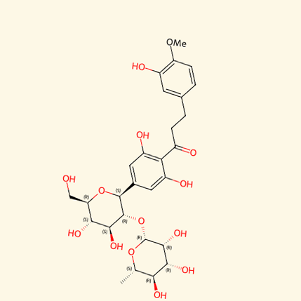 COc1ccc(CCC(=O)c2c(O)cc([C@@H]3O[C@H](CO)[C@@H](O)[C@H](O)[C@H]3O[C@H]3O[C@@H](C)[C@H](O)[C@@H](O)[C@H]3O)cc2O)cc1O